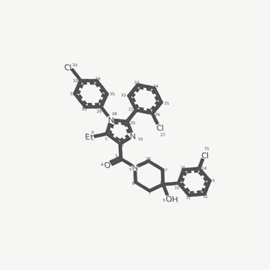 CCc1c(C(=O)N2CCC(O)(c3cccc(Cl)c3)CC2)nc(-c2ccccc2Cl)n1-c1ccc(Cl)cc1